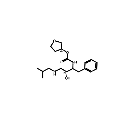 CC(C)CNC[C@@H](O)C(Cc1ccccc1)NC(=O)O[C@H]1CCOC1